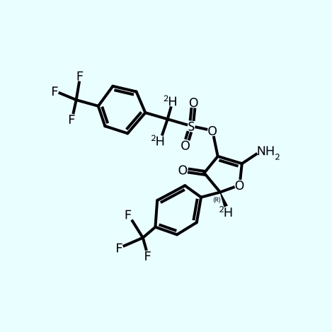 [2H]C([2H])(c1ccc(C(F)(F)F)cc1)S(=O)(=O)OC1=C(N)O[C@]([2H])(c2ccc(C(F)(F)F)cc2)C1=O